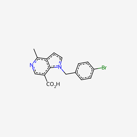 Cc1ncc(C(=O)O)c2c1ccn2Cc1ccc(Br)cc1